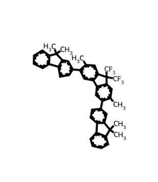 Cc1cc2c(cc1-c1ccc3c(c1)C(C)(C)c1ccccc1-3)-c1cc(-c3ccc4c(c3)C(C)(C)c3ccccc3-4)c(C)cc1C2(C(F)(F)F)C(F)(F)F